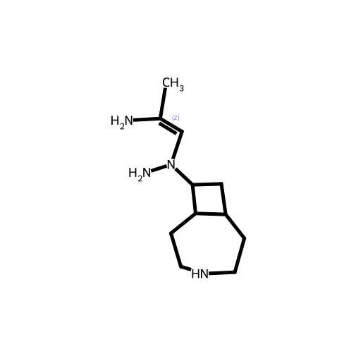 C/C(N)=C/N(N)C1CC2CCNCCC21